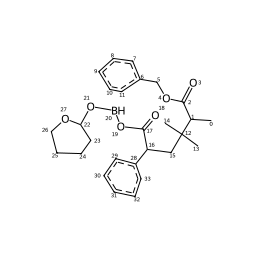 CC(C(=O)OCc1ccccc1)C(C)(C)CC(C(=O)OBOC1CCCCO1)c1ccccc1